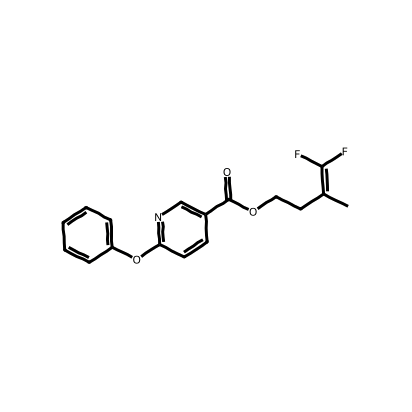 CC(CCOC(=O)c1ccc(Oc2ccccc2)nc1)=C(F)F